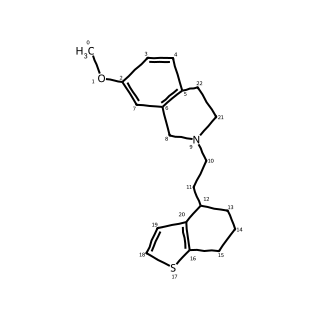 COc1ccc2c(c1)CN(CCC1CCCc3sccc31)CC2